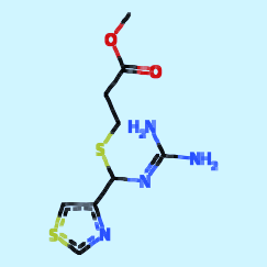 COC(=O)CCSC(N=C(N)N)c1cscn1